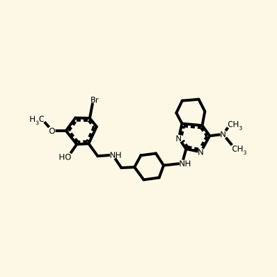 COc1cc(Br)cc(CNCC2CCC(Nc3nc4c(c(N(C)C)n3)CCCC4)CC2)c1O